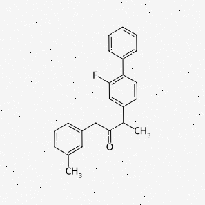 Cc1cccc(CC(=O)C(C)c2ccc(-c3ccccc3)c(F)c2)c1